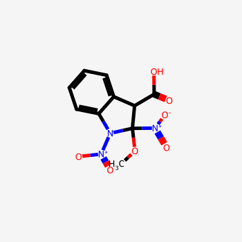 COC1([N+](=O)[O-])C(C(=O)O)c2ccccc2N1[N+](=O)[O-]